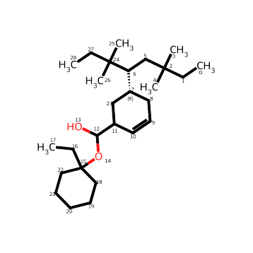 CCC(C)(C)CC([C@@H]1CC=CC(C(O)OC2(CC)CCCCC2)C1)C(C)(C)CC